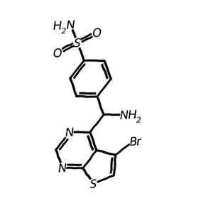 NC(c1ccc(S(N)(=O)=O)cc1)c1ncnc2scc(Br)c12